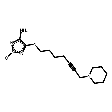 Nc1n[s+]([O-])nc1NCCCCC#CCN1CCCCC1